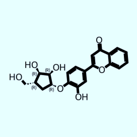 O=c1cc(-c2ccc(O[C@@H]3C[C@H](CO)[C@@H](O)[C@H]3O)c(O)c2)oc2ccccc12